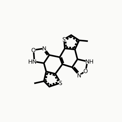 Cc1csc2c1C1NON=C1C1=C2C2=NONC2c2c(C)csc21